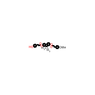 COc1ccc(C=CC(=O)Oc2ccc3c(c2)C(C)(C)c2cc(OC(=O)C=Cc4ccc(O)cc4)ccc2-3)cc1